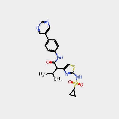 CC(C)C(C(=O)Nc1ccc(-c2cncnc2)cc1)c1csc(NS(=O)(=O)C2CC2)n1